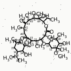 CCC1OC(=O)[C@H](C)[C@@H](OC2CC(C)(OC)C(O)C(C)O2)[C@H](C)[C@@H](OC2OC(C)CC(N(C)C)C2O)[C@@](C)(OC)C[C@@H](C)C(=O)[C@H](C)[C@@H](O)[C@]1(C)O